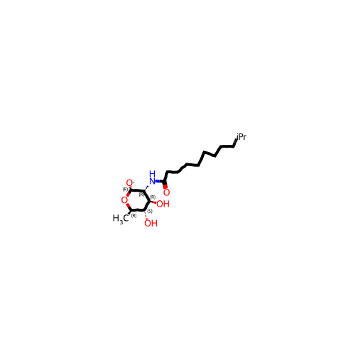 CC(C)CCCCCCCCC(=O)N[C@@H]1[C@@H](O)[C@H](O)[C@@H](C)O[C@H]1[O]